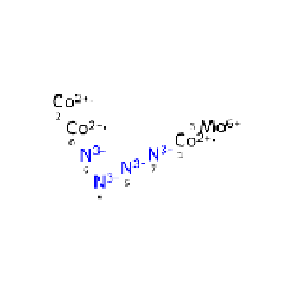 [Co+2].[Co+2].[Co+2].[Mo+6].[N-3].[N-3].[N-3].[N-3]